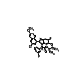 COc1cnc2c(-c3nc4cc(F)c(O[C@@H](C)[C@@H](C)OC(=O)Nc5cncc(F)c5)cc4s3)cc(Cl)cc2c1